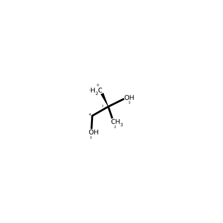 [CH2][C@](C)(O)CO